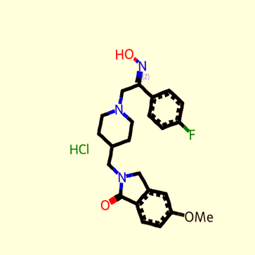 COc1ccc2c(c1)CN(CC1CCN(C/C(=N\O)c3ccc(F)cc3)CC1)C2=O.Cl